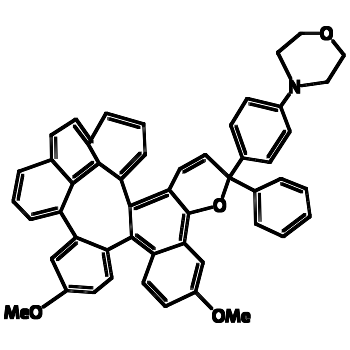 COc1ccc2c(c1)c1c(c3c4cccc5ccc6cccc(c7cc(OC)ccc7c23)c6c54)C=CC(c2ccccc2)(c2ccc(N3CCOCC3)cc2)O1